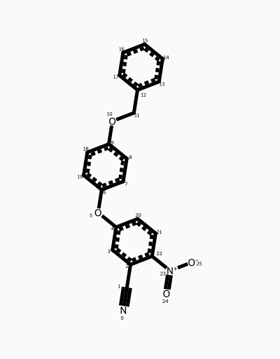 N#Cc1cc(Oc2ccc(OCc3ccccc3)cc2)ccc1[N+](=O)[O-]